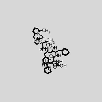 Cc1cccc(CN2CCN(C(C(=O)NC(Cc3ccc(-c4ccccn4)cc3)CC(O)C(Cc3ccccc3)NC(=O)C(NC(=O)O)C(C)(C)C)C(C)(C)C)C2=O)n1